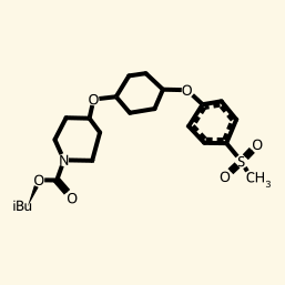 CC[C@H](C)OC(=O)N1CCC(OC2CCC(Oc3ccc(S(C)(=O)=O)cc3)CC2)CC1